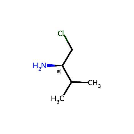 CC(C)[C@@H](N)CCl